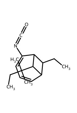 CCC1C2C=CC=C(N=C=O)C1C2C(C)(C)CC